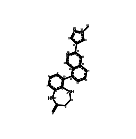 C=C1CCNc2c(cccc2-c2cccc3cc(-c4cnn(C)c4)ncc23)N1